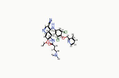 CCOc1cc2ncc(C#N)c(Nc3cc(Cl)c(OCc4ncccc4C)c(Cl)c3)c2cc1NC(=O)CCCN(C)C